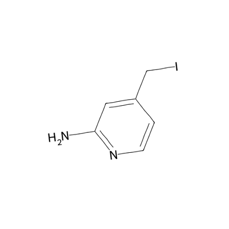 Nc1cc(CI)ccn1